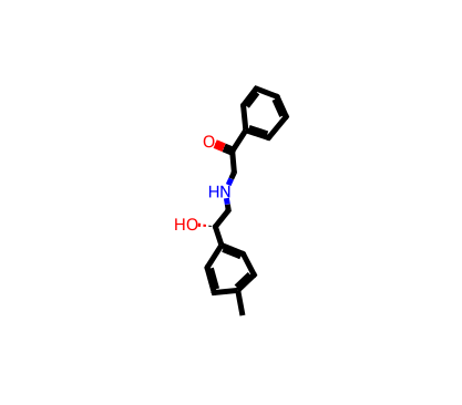 Cc1ccc([C@H](O)CNCC(=O)c2ccccc2)cc1